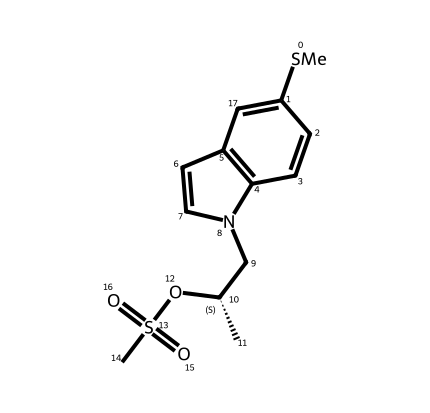 CSc1ccc2c(ccn2C[C@H](C)OS(C)(=O)=O)c1